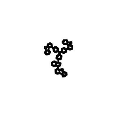 c1ccc2c(c1)oc1c(-c3ccc(-c4ccc(N(c5ccc(-c6cccc7oc8ccccc8c67)cc5)c5ccc(-c6cccc7oc8ccccc8c67)cc5)cc4)c4ccccc34)cccc12